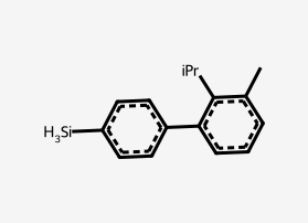 Cc1cccc(-c2ccc([SiH3])cc2)c1C(C)C